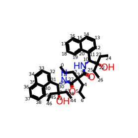 CCCC(CCC)(C(=O)N[C@@H](c1cccc2ccccc12)C(O)(CC)CC)C(=O)N[C@@H](c1cccc2ccccc12)C(O)(CC)CC